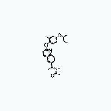 CCC(C)Oc1ccc(Oc2ccc3cc(C(C)NC(C)=O)ccc3n2)c(C)c1